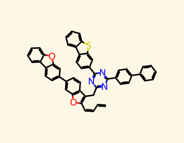 C=C/C=C\c1oc2cc(-c3ccc4c(c3)oc3ccccc34)ccc2c1Cc1nc(-c2ccc(-c3ccccc3)cc2)nc(-c2ccc3c(c2)sc2ccccc23)n1